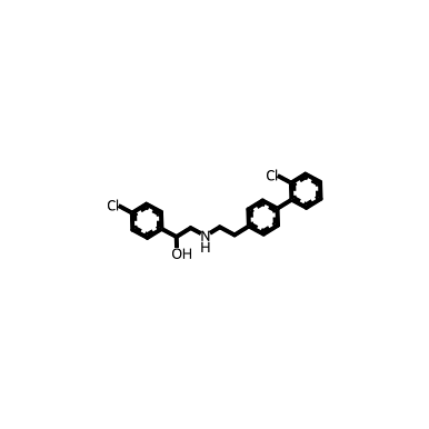 OC(CNCCc1ccc(-c2ccccc2Cl)cc1)c1ccc(Cl)cc1